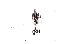 C[C@H](N(Cc1ccc(F)cc1)C(=O)CN1C(=O)OC2(CCc3cc(NC(=O)CCCCCCCCCCNC(=O)Cc4ccccc4)ccc32)C1=O)C(F)(F)F